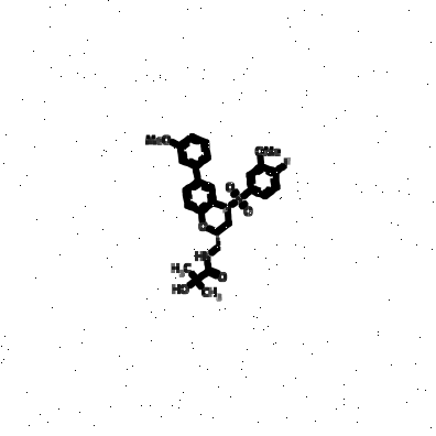 COc1cccc(-c2ccc3c(c2)N(S(=O)(=O)c2ccc(F)c(OC)c2)C[C@H](CNC(=O)C(C)(C)O)O3)c1